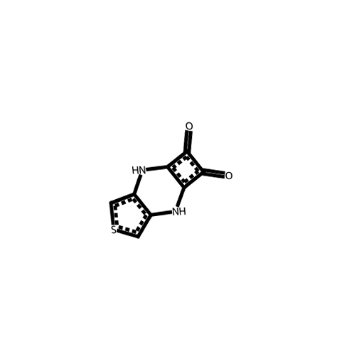 O=c1c2c(c1=O)Nc1cscc1N2